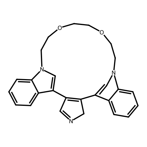 C1=NCC2=C1c1cn(c3ccccc13)CCOCCOCCn1cc2c2ccccc21